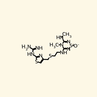 CNC1=N[S+]([O-])N=C(NCCSCc2csc(NC(=N)N)n2)N1C